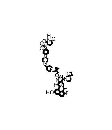 CCc1c(F)ccc2cc(O)cc(-c3ncc4c(N5CCC[C@]6(CCO6)C5)nc(OCC5(CN6CCC(CN7CCN(c8ccc9c(c8)oc(=O)n9C8CCC(=O)NC8=O)CC7)CC6)CC5)nc4c3F)c12